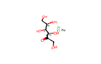 Cl.O=C(CO)[C@H](O)[C@@H](O)[C@H](O)CO.[Fe]